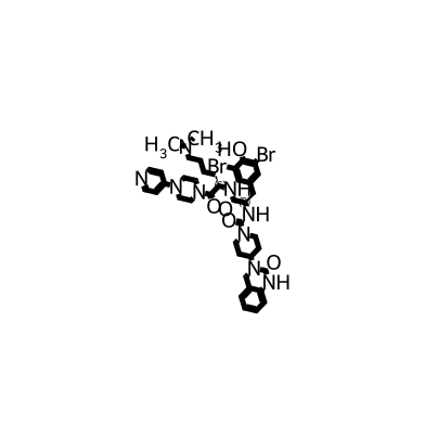 CN(C)CCCC[C@H](NC(=O)[C@@H](Cc1cc(Br)c(O)c(Br)c1)NC(=O)N1CCC(N2Cc3ccccc3NC2=O)CC1)C(=O)N1CCN(c2ccncc2)CC1